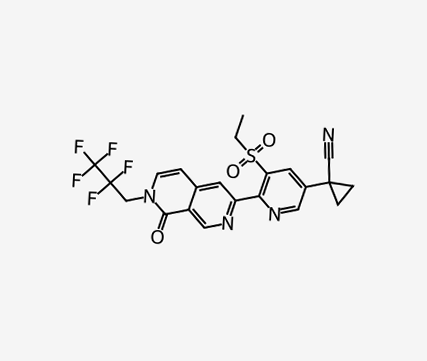 CCS(=O)(=O)c1cc(C2(C#N)CC2)cnc1-c1cc2ccn(CC(F)(F)C(F)(F)F)c(=O)c2cn1